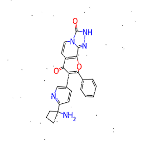 NC1(c2ccc(-c3c(-c4ccccc4)oc4c(ccn5c(=O)[nH]nc45)c3=O)cn2)CCC1